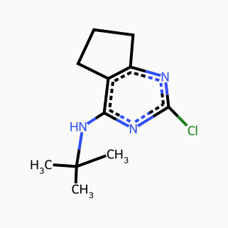 CC(C)(C)Nc1nc(Cl)nc2c1CCC2